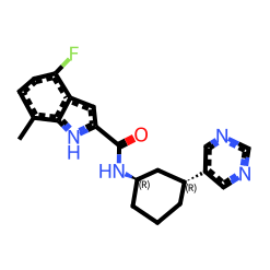 Cc1ccc(F)c2cc(C(=O)N[C@@H]3CCC[C@@H](c4cncnc4)C3)[nH]c12